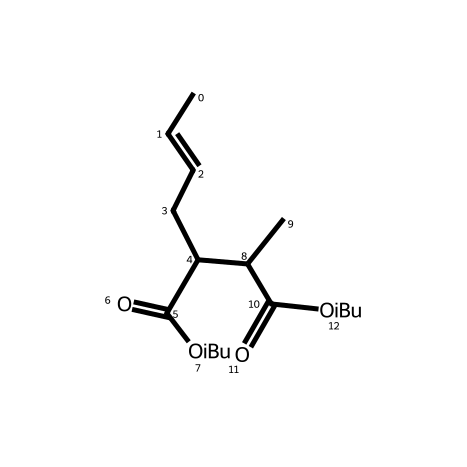 CC=CCC(C(=O)OCC(C)C)C(C)C(=O)OCC(C)C